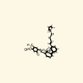 Cc1cc(OCC2C=CC=C(c3cccc(/C=C/CCn4cccc4)c3)C2(C)C)c(Cl)cc1C=O